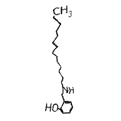 CCCCCCCCCCCCCCNCc1ccccc1O